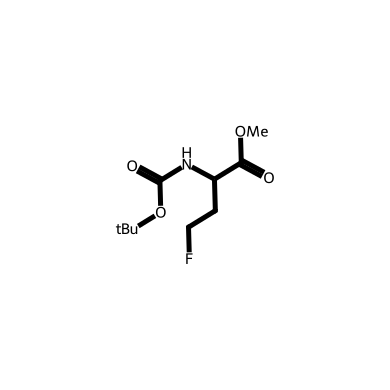 COC(=O)C(CCF)NC(=O)OC(C)(C)C